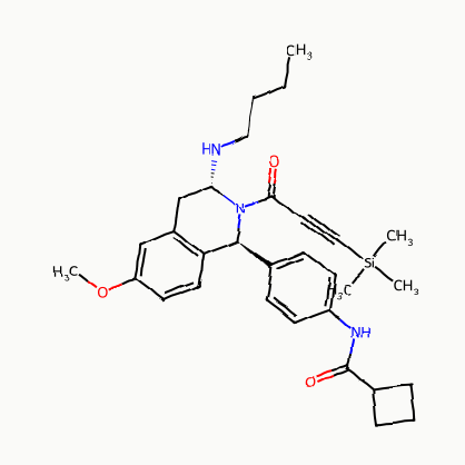 CCCCN[C@H]1Cc2cc(OC)ccc2[C@H](c2ccc(NC(=O)C3CCC3)cc2)N1C(=O)C#C[Si](C)(C)C